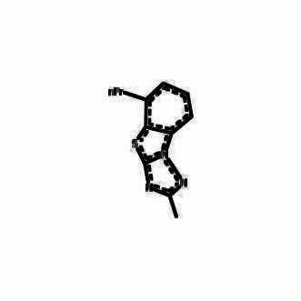 CCCc1cccc2c1sc1nc(C)nn12